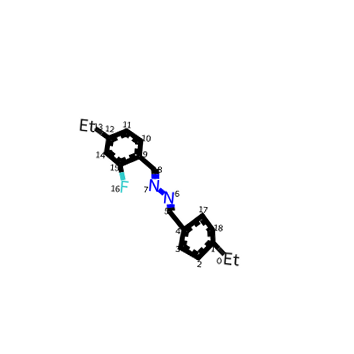 CCc1ccc(C=NN=Cc2ccc(CC)cc2F)cc1